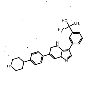 CC(C)(O)c1cccc(-c2cnn3c2NCC(c2ccc(C4CCNCC4)cc2)=C3)c1